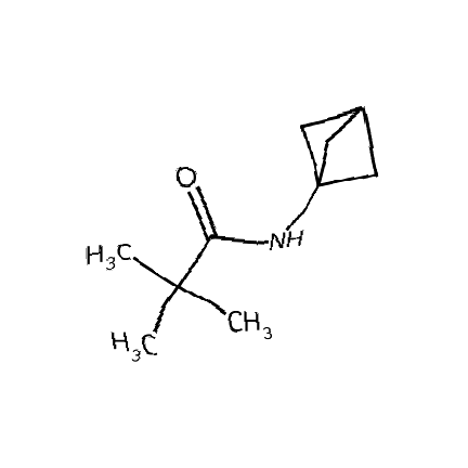 CC(C)(C)C(=O)NC12CC(C1)C2